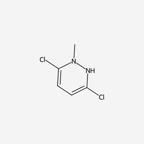 CN1NC(Cl)=CC=C1Cl